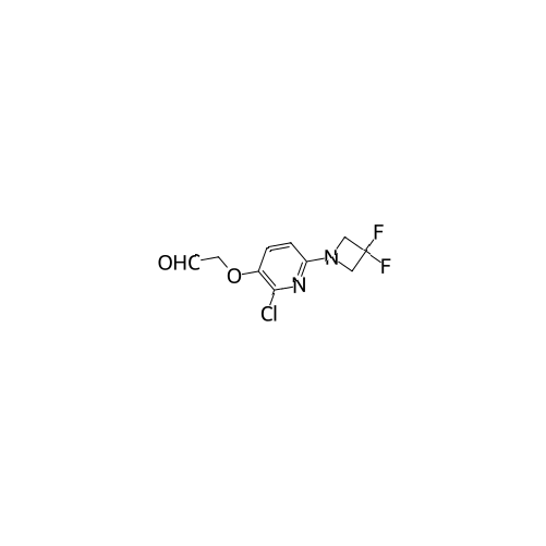 O=CCOc1ccc(N2CC(F)(F)C2)nc1Cl